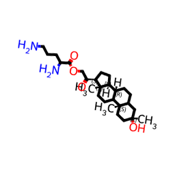 C[C@@]1(O)CC[C@@]2(C)C(CC[C@@H]3C2CC[C@]2(C)[C@@H](C(=O)COC(=O)C(N)CCCN)CC[C@@H]32)C1